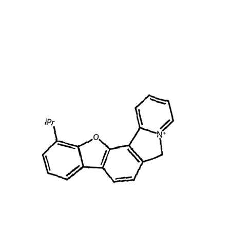 CC(C)c1cccc2c1oc1c3c(ccc12)C[n+]1ccccc1-3